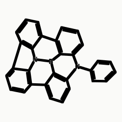 c1ccc(N2c3cccc4c3B3c5c(cccc52)-c2cccc5c6cccc-4c6n3c25)cc1